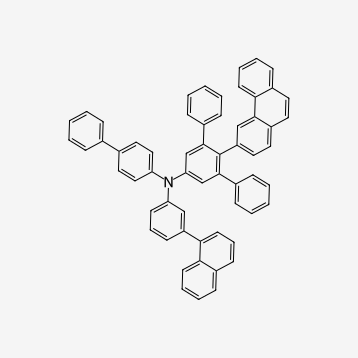 c1ccc(-c2ccc(N(c3cccc(-c4cccc5ccccc45)c3)c3cc(-c4ccccc4)c(-c4ccc5ccc6ccccc6c5c4)c(-c4ccccc4)c3)cc2)cc1